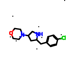 Clc1ccc(CC2CC(N3CCOCC3)CN2)cc1